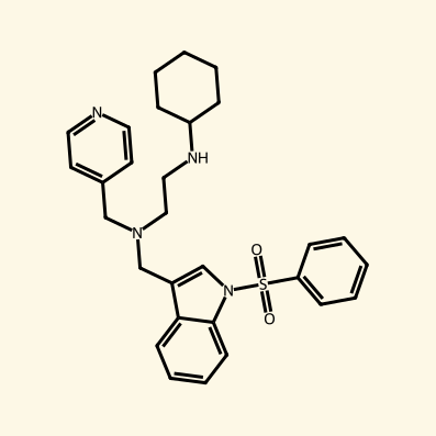 O=S(=O)(c1ccccc1)n1cc(CN(CCNC2CCCCC2)Cc2ccncc2)c2ccccc21